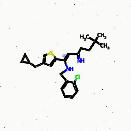 CC(C)(C)CCC(=N)/C=C(\NCc1ccccc1Cl)c1cc(CC2CC2)cs1